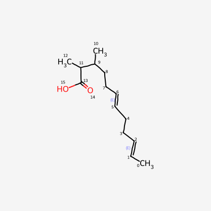 C/C=C/CC/C=C/CCC(C)C(C)C(=O)O